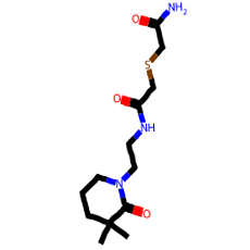 CC1(C)CCCN(CCNC(=O)CSCC(N)=O)C1=O